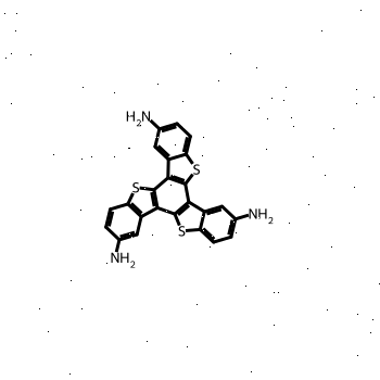 Nc1ccc2sc3c(c2c1)c1sc2ccc(N)cc2c1c1sc2ccc(N)cc2c31